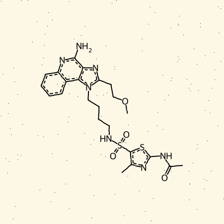 COCCc1nc2c(N)nc3ccccc3c2n1CCCCNS(=O)(=O)c1sc(NC(C)=O)nc1C